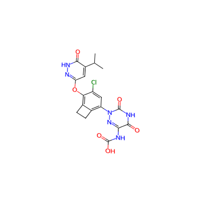 CC(C)c1cc(Oc2c(Cl)cc(-n3nc(NC(=O)O)c(=O)[nH]c3=O)c3c2CC3)n[nH]c1=O